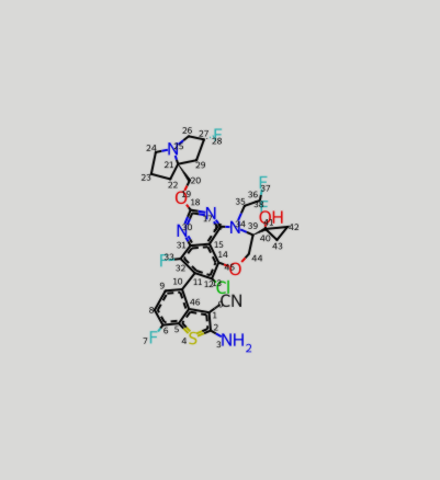 N#Cc1c(N)sc2c(F)ccc(-c3c(Cl)c4c5c(nc(OC[C@@]67CCCN6C[C@H](F)C7)nc5c3F)N(CC(F)F)[C@@H](C3(O)CC3)CO4)c12